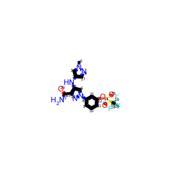 Cn1cc(Nc2cn(-c3cccc(OS(=O)(=O)C(F)(F)F)c3)nc2C(N)=O)cn1